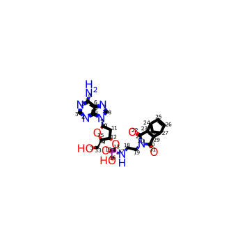 Nc1ncnc2c1ncn2[C@H]1CC(OP(=O)(O)NCCN2C(=O)C3C4C=CC(C4)C3C2=O)[C@@H](CO)O1